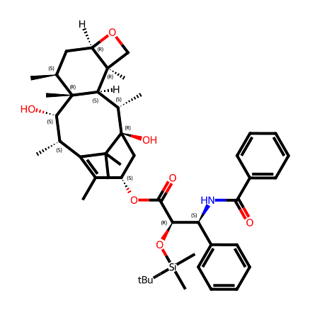 CC1=C2[C@H](C)[C@H](O)[C@@]3(C)[C@H]([C@H](C)[C@](O)(C[C@@H]1OC(=O)[C@H](O[Si](C)(C)C(C)(C)C)[C@@H](NC(=O)c1ccccc1)c1ccccc1)C2(C)C)[C@]1(C)CO[C@@H]1C[C@@H]3C